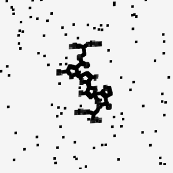 CCCCCCC(CCCC)COC(=O)C1=CC(Br)SC1=c1cc(F)c(=C2SC(Br)(c3sccc3C(=O)OCC(CCCC)CCCCCC)C=C2F)s1